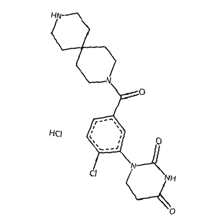 Cl.O=C1CCN(c2cc(C(=O)N3CCC4(CCNCC4)CC3)ccc2Cl)C(=O)N1